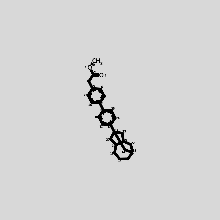 COC(=O)Cc1ccc(-c2ccc(C34CC5CCCC(C3)C(C5)C4)cc2)cc1